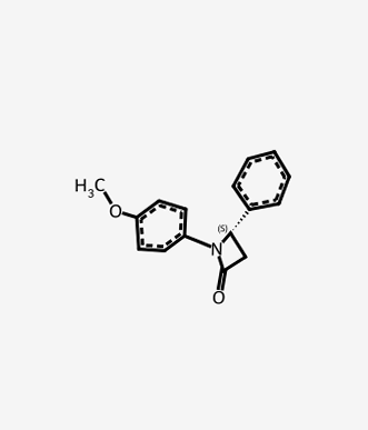 COc1ccc(N2C(=O)C[C@H]2c2ccccc2)cc1